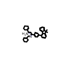 CC1(C)c2ccccc2-c2c(-c3ccc(C(/C=C(\N)C4=CCCCC4)=N/CC4=CCCCC4)cc3)cccc21